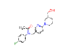 CC(=O)N(Cc1ccc(N2CCCC(CO)C2)nc1)c1ccc(F)cc1